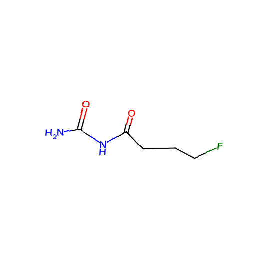 NC(=O)NC(=O)CCCF